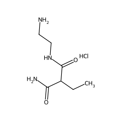 CCC(C(N)=O)C(=O)NCCN.Cl